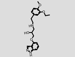 CCOc1cc(CCNCC(O)COc2cccc3[nH]ncc23)ccc1OC